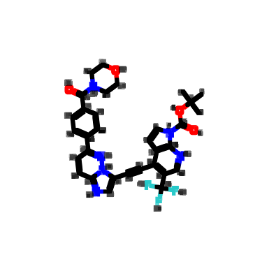 CC(C)(C)OC(=O)n1ccc2c(C#Cc3cnc4ccc(-c5ccc(C(=O)N6CCOCC6)cc5)nn34)c(C(F)(F)F)cnc21